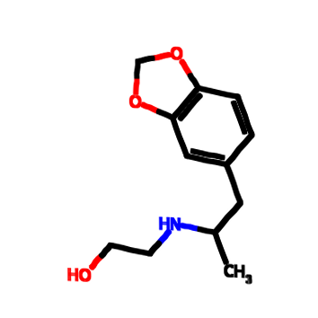 CC(Cc1ccc2c(c1)OCO2)NCCO